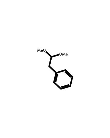 COC(Cc1[c]cccc1)OC